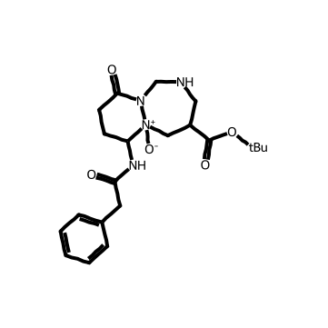 CC(C)(C)OC(=O)C1CNCN2C(=O)CCC(NC(=O)Cc3ccccc3)[N+]2([O-])C1